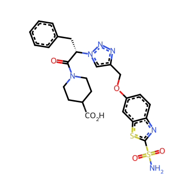 NS(=O)(=O)c1nc2ccc(OCc3cn([C@@H](Cc4ccccc4)C(=O)N4CCC(C(=O)O)CC4)nn3)cc2s1